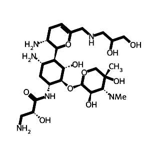 CN[C@@H]1[C@@H](O)[C@@H](O[C@@H]2[C@@H](O)[C@H](C3OC(CNCC(O)CO)=CC[C@H]3N)[C@@H](N)C[C@H]2NC(=O)[C@H](O)CN)OC[C@]1(C)O